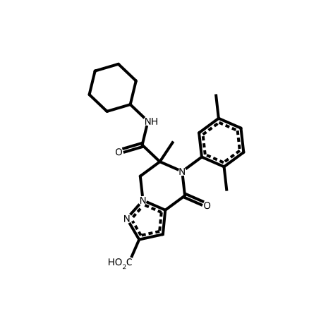 Cc1ccc(C)c(N2C(=O)c3cc(C(=O)O)nn3CC2(C)C(=O)NC2CCCCC2)c1